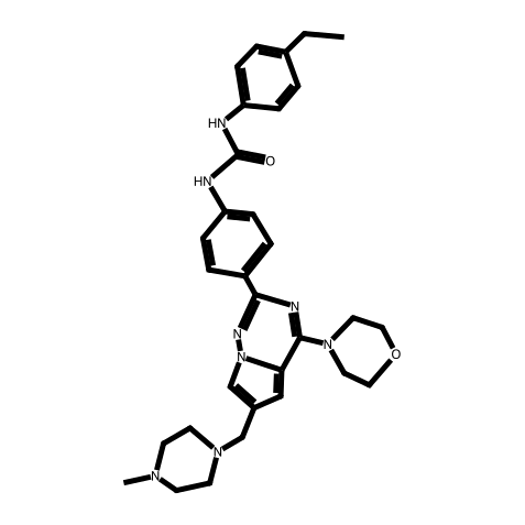 CCc1ccc(NC(=O)Nc2ccc(-c3nc(N4CCOCC4)c4cc(CN5CCN(C)CC5)cn4n3)cc2)cc1